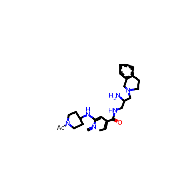 C=N/C(=C\C(=C/C)C(=O)NCC(N)CN1CCc2ccccc2C1)NC1CCN(C(C)=O)CC1